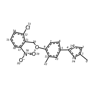 Cc1csc(-c2ccc(OCc3c(Cl)cccc3[N+](=O)[O-])c(C)c2)n1